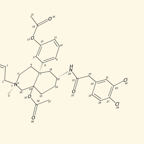 C=CC[N@@+]1(C)CC[C@@]2(c3cccc(OC(C)=O)c3)C[C@H](NC(=O)Cc3ccc(Cl)c(Cl)c3)CCC2(OC(C)=O)C1